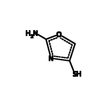 Nc1nc(S)co1